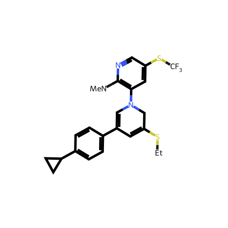 CCSC1=CC(c2ccc(C3CC3)cc2)=CN(c2cc(SC(F)(F)F)cnc2NC)C1